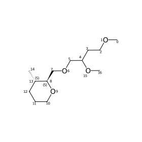 COCCC(COC[C@H]1OCCC[C@@H]1C)OC